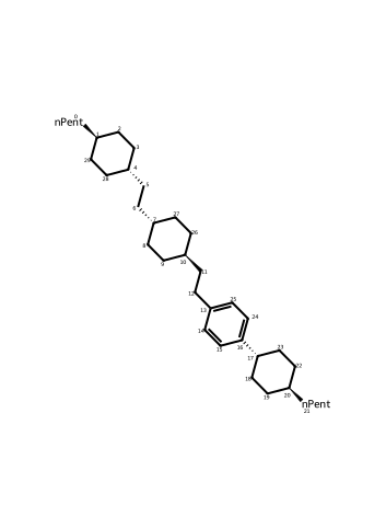 CCCCC[C@H]1CC[C@H](CC[C@H]2CC[C@H](CCc3ccc([C@H]4CC[C@H](CCCCC)CC4)cc3)CC2)CC1